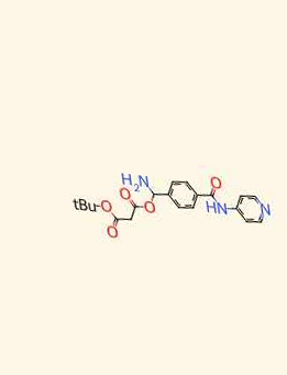 CC(C)(C)OC(=O)CC(=O)OC(N)c1ccc(C(=O)Nc2ccncc2)cc1